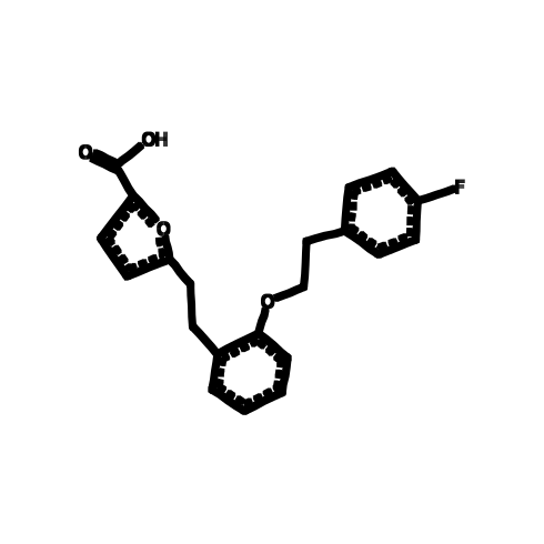 O=C(O)c1ccc(CCc2ccccc2OCCc2ccc(F)cc2)o1